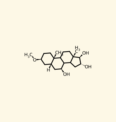 CO[C@H]1CC[C@]2(C)C3CC[C@@]4(C)C(C[C@@H](O)[C@@H]4O)C3[C@@H](O)C[C@@H]2C1